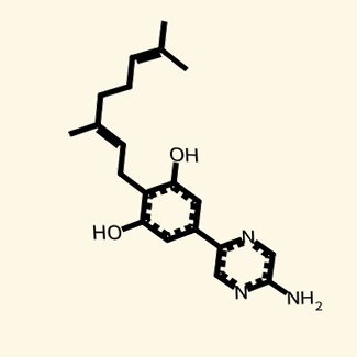 CC(C)=CCC/C(C)=C/Cc1c(O)cc(-c2cnc(N)cn2)cc1O